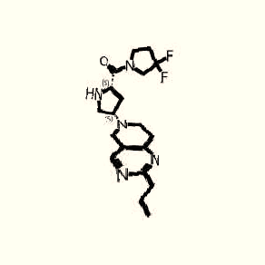 CCCc1ncc2c(n1)CCN([C@@H]1CN[C@H](C(=O)N3CCC(F)(F)C3)C1)C2